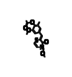 COCN1C=CSC(=Cc2cc(C)c(OC(C)=O)c(OC)c2)C1=O